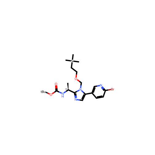 C[C@H](NC(=O)OC(C)(C)C)c1ncc(-c2ccc(Br)nc2)n1COCC[Si](C)(C)C